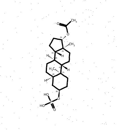 CC(=O)O[C@H]1CC[C@H]2[C@@H]3CC[C@@H]4C[C@H](OP(=O)(O)O)CC[C@]4(C)[C@H]3CC[C@]12C